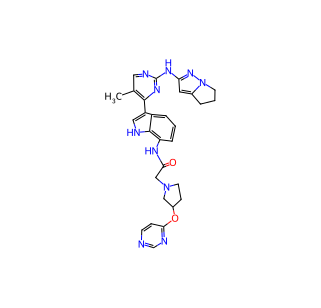 Cc1cnc(Nc2cc3n(n2)CCC3)nc1-c1c[nH]c2c(NC(=O)CN3CCC(Oc4ccncn4)C3)cccc12